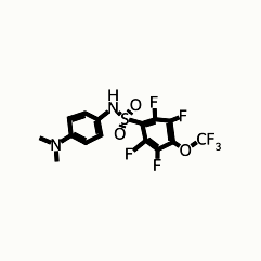 CN(C)c1ccc(NS(=O)(=O)c2c(F)c(F)c(OC(F)(F)F)c(F)c2F)cc1